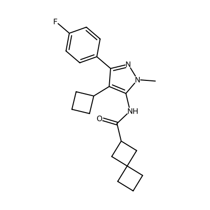 Cn1nc(-c2ccc(F)cc2)c(C2CCC2)c1NC(=O)C1CC2(CCC2)C1